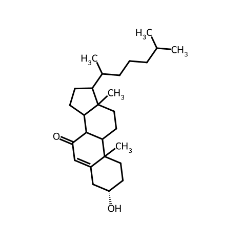 CC(C)CCCC(C)C1CCC2C3C(=O)C=C4C[C@@H](O)CCC4(C)C3CCC12C